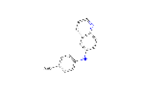 COc1ccc(Nc2ccc3ncccc3c2)cc1